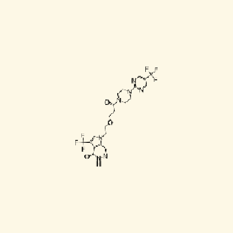 O=C(CCOCCn1cc(C(F)(F)F)c2c(=O)[nH]ncc21)N1CCN(c2ncc(C(F)(F)F)cn2)CC1